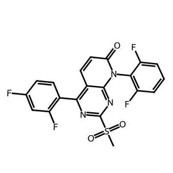 CS(=O)(=O)c1nc(-c2ccc(F)cc2F)c2ccc(=O)n(-c3c(F)cccc3F)c2n1